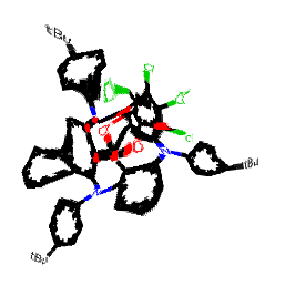 C=CCN(c1ccc(C(C)(C)C)cc1)c1cc2ccccc2c2c1[Si]1(Oc3c(Cl)c(Cl)c(Cl)c(Cl)c3O1)c1c(N(/C(C)=C3\C=CC=CC3)c3ccc(C(C)(C)C)cc3)cccc1N2c1ccc(C(C)(C)C)cc1